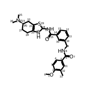 COc1ccc(C(=O)NCc2cccc(C(=O)NC3NC4=C(C[C@H](N(C)C)CC4)S3)c2)cc1C